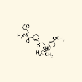 COc1ccc2c(c1)C(=CC(=O)c1cccc(C(=O)N(C)Cc3ccco3)c1)NC(C)(C)C2